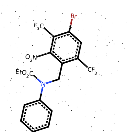 CCOC(=O)N(Cc1c(C(F)(F)F)cc(Br)c(C(F)(F)F)c1[N+](=O)[O-])c1ccccc1